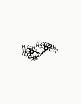 CC(C)(C)c1cc(CC=CN(C=CCc2cc(C(C)(C)C)c(O)c(C(C)(C)C)c2)CCCN)cc(C(C)(C)C)c1O